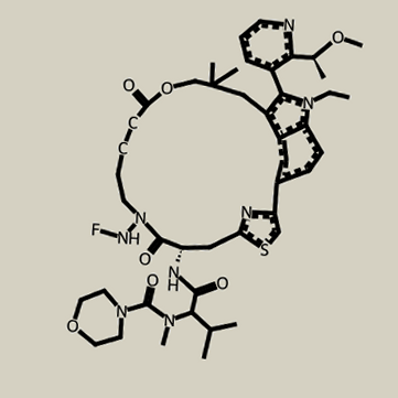 CCn1c(-c2cccnc2[C@H](C)OC)c2c3cc(ccc31)-c1csc(n1)C[C@H](NC(=O)C(C(C)C)N(C)C(=O)N1CCOCC1)C(=O)N(NF)CCCCC(=O)OCC(C)(C)C2